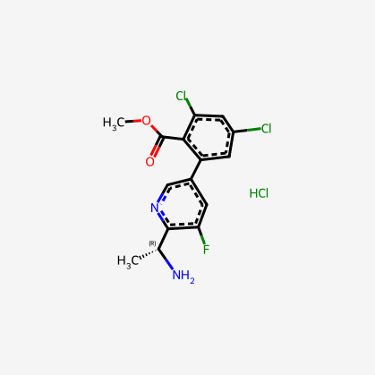 COC(=O)c1c(Cl)cc(Cl)cc1-c1cnc([C@@H](C)N)c(F)c1.Cl